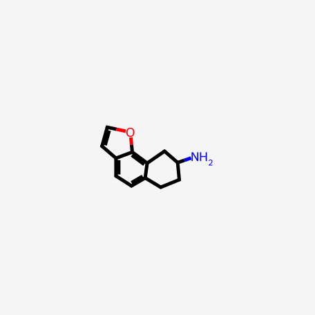 NC1CCc2ccc3ccoc3c2C1